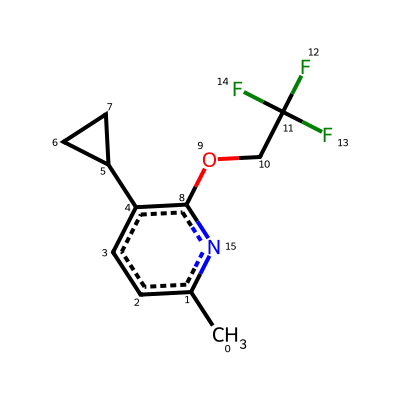 Cc1ccc(C2CC2)c(OCC(F)(F)F)n1